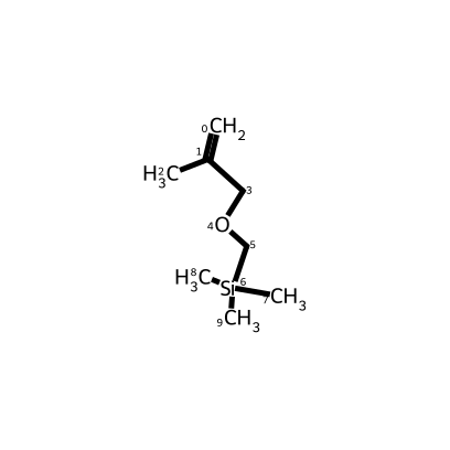 C=C(C)COC[Si](C)(C)C